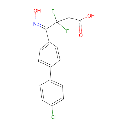 O=C(O)CC(F)(F)C(=NO)c1ccc(-c2ccc(Cl)cc2)cc1